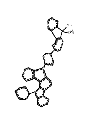 CC1(C)c2ccccc2-c2cc(-c3ccc(-n4c5ccccc5c5c4ccc4c6ccccc6n(-c6ccccc6)c45)cc3)ccc21